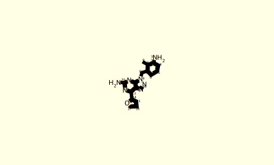 Cc1c(N)cccc1Cn1nnc2c(-c3ccco3)nc(N)nc21